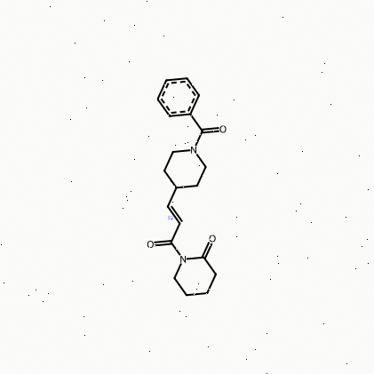 O=C(c1ccccc1)N1CCC(/C=C/C(=O)N2CCCCC2=O)CC1